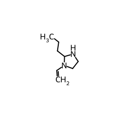 C=CN1CCNC1CCC